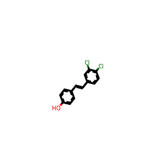 Oc1ccc(C=Cc2ccc(Cl)c(Cl)c2)cc1